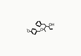 C=CC(O)C(Cc1ccccc1)C(C)OCc1ccc(OC)cc1